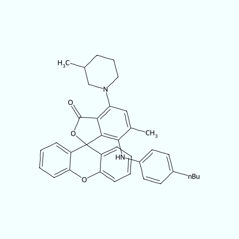 CCCCc1ccc(Nc2c(C)cc(N3CCCC(C)C3)c3c2C2(OC3=O)c3ccccc3Oc3ccccc32)cc1